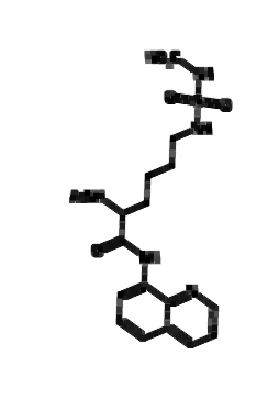 CC(=O)NC(CCCCNS(=O)(=O)NC(=O)O)C(=O)Nc1cccc2cccnc12